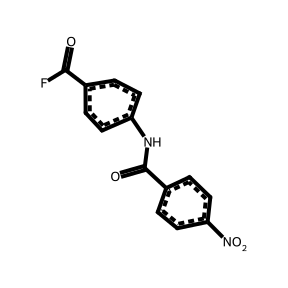 O=C(F)c1ccc(NC(=O)c2ccc([N+](=O)[O-])cc2)cc1